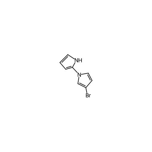 Brc1ccn(-c2ccc[nH]2)c1